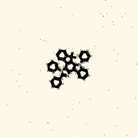 CC1(C)c2ccccc2-c2c1c1c(c3ccccc3n1-c1ccccc1)c1nc(-c3ccccc3)n(-c3ccccc3)c21